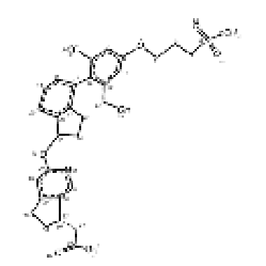 Cc1cc(OCCCS(C)(=O)=O)cc(CO)c1-c1cccc2c1CCC2Oc1cc2c(cn1)[C@H](CC(=O)O)CS2